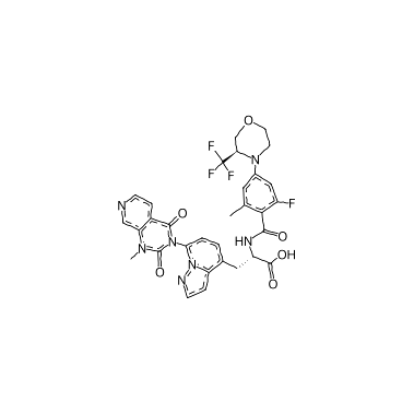 Cc1cc(N2CCOC[C@@H]2C(F)(F)F)cc(F)c1C(=O)N[C@@H](Cc1ccc(-n2c(=O)c3ccncc3n(C)c2=O)n2nccc12)C(=O)O